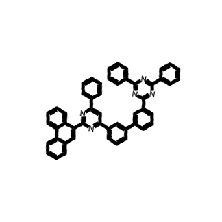 c1ccc(-c2cc(-c3cccc(-c4cccc(-c5nc(-c6ccccc6)nc(-c6ccccc6)n5)c4)c3)nc(-c3cc4ccccc4c4ccccc34)n2)cc1